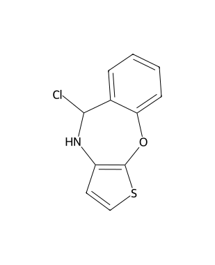 ClC1Nc2ccsc2Oc2ccccc21